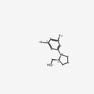 OC[C@@H]1CCCN1c1cc(F)cc(F)c1